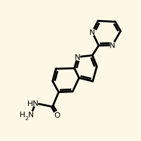 NNC(=O)c1ccc2nc(-c3ncccn3)ccc2c1